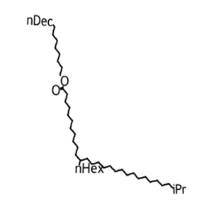 CCCCCCCCCCCCCCCCCCOC(=O)CCCCCCCCCCC(CCCCCC)CCCCCCCCCCCCCCCC(C)C